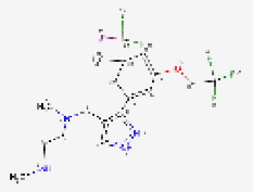 CNCCN(C)Cc1c[nH]nc1C1=CC(OCC(F)(F)F)=CC(C)(C(F)(F)P)C1